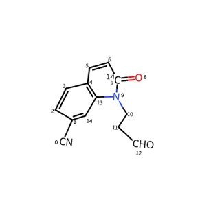 N#Cc1ccc2cc[14c](=O)n(CCC=O)c2c1